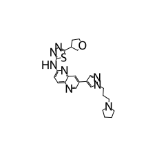 c1nc2ccc(Nc3nnc(C4CCOC4)s3)nc2cc1-c1cnn(CCCN2CCCC2)c1